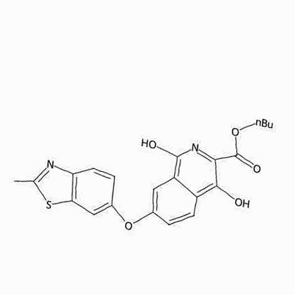 CCCCOC(=O)c1nc(O)c2cc(Oc3ccc4nc(C)sc4c3)ccc2c1O